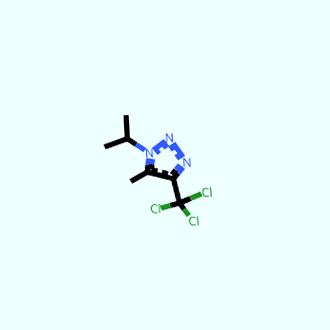 Cc1c(C(Cl)(Cl)Cl)nnn1C(C)C